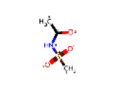 CC([O])NS(C)(=O)=O